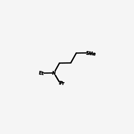 CCN(CCCSC)C(C)C